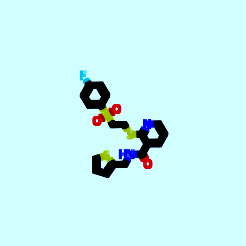 O=C(NCc1cccs1)c1cccnc1SCCS(=O)(=O)c1ccc(F)cc1